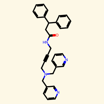 O=C(CC(c1ccccc1)c1ccccc1)NCC#CCN(Cc1cccnc1)Cc1cccnc1